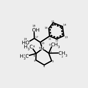 CC1(C)CCCC(C)(C)N1C(c1ccccc1)C(O)O